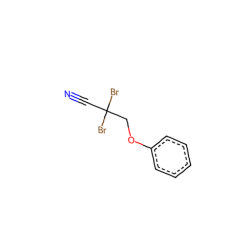 N#CC(Br)(Br)COc1ccccc1